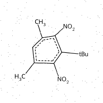 Cc1cc(C)c([N+](=O)[O-])c(C(C)(C)C)c1[N+](=O)[O-]